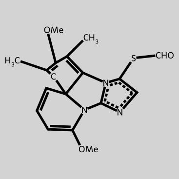 COC1=CC=CC23CC(C)=C(OC)C(C)=C2n2c(SC=O)cnc2N13